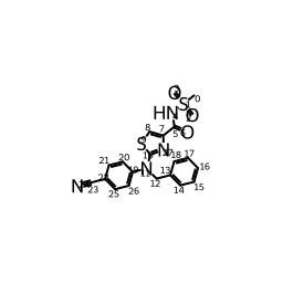 CS(=O)(=O)NC(=O)c1csc(N(Cc2ccccc2)c2ccc(C#N)cc2)n1